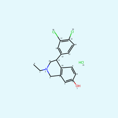 CCN1Cc2cc(O)ccc2C(c2ccc(Cl)c(Cl)c2)C1.Cl